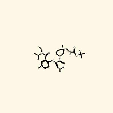 CCN(C(=O)c1cc(F)ccc1OC1=CNCN=C1N1CC[C@](C)(CNC(=O)OC(C)(C)C)C1)C(C)C